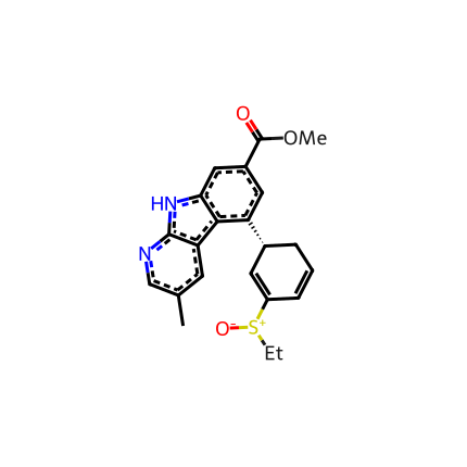 CC[S+]([O-])C1=C[C@H](c2cc(C(=O)OC)cc3[nH]c4ncc(C)cc4c23)CC=C1